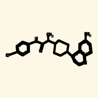 Bc1ccc2nccc(C3CCC(C(C)C(=O)Nc4ccc(Cl)cc4)CC3)c2c1